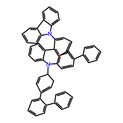 C1=CC(N(c2ccc(-c3ccccc3)cc2)c2ccccc2-c2ccccc2-n2c3ccccc3c3ccccc32)CC=C1c1ccccc1-c1ccccc1